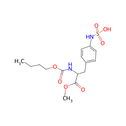 CCCCOC(=O)NC(Cc1ccc(NS(=O)(=O)O)cc1)C(=O)OC